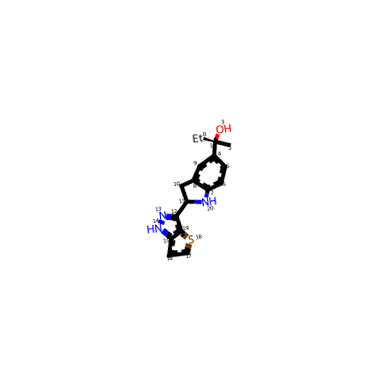 CC[C@](C)(O)c1ccc2c(c1)CC(c1n[nH]c3ccsc13)N2